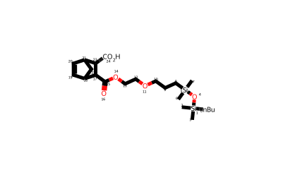 CCCC[Si](C)(C)O[Si](C)(C)CCCOCCOC(=O)C1C2C=CC(C2)C1C(=O)O